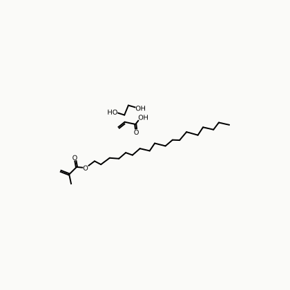 C=C(C)C(=O)OCCCCCCCCCCCCCCCCCC.C=CC(=O)O.OCCO